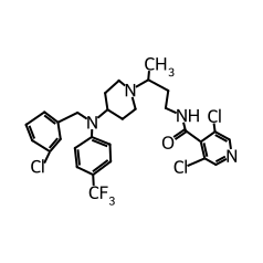 CC(CCNC(=O)c1c(Cl)cncc1Cl)N1CCC(N(Cc2cccc(Cl)c2)c2ccc(C(F)(F)F)cc2)CC1